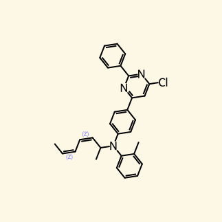 C/C=C\C=C/C(C)N(c1ccc(-c2cc(Cl)nc(-c3ccccc3)n2)cc1)c1ccccc1C